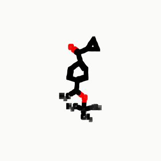 CC(O[Si](C)(C)C(C)(C)C)c1ccc(C(=O)C2CC2)cc1